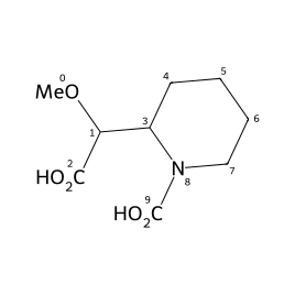 COC(C(=O)O)C1CCCCN1C(=O)O